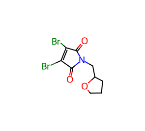 O=C1C(Br)=C(Br)C(=O)N1CC1CCCO1